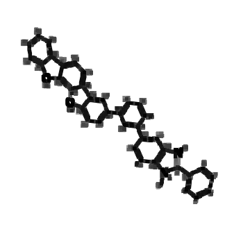 Cn1c(-c2ccccc2)nc2cc(-c3cccc(-c4ccc5oc6c(ccc7c8ccccc8oc76)c5c4)c3)ccc21